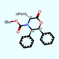 CCCCC[C@@H]1C(=O)O[C@@H](c2ccccc2)[C@@H](c2ccccc2)N1C(=O)OC(C)(C)C